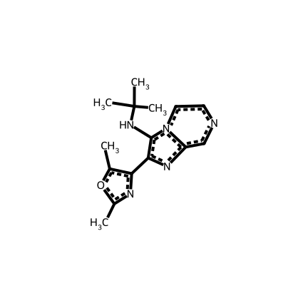 Cc1nc(-c2nc3cnccn3c2NC(C)(C)C)c(C)o1